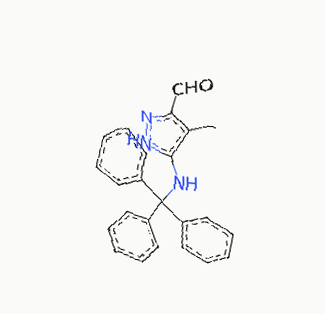 Cc1c(C=O)n[nH]c1NC(c1ccccc1)(c1ccccc1)c1ccccc1